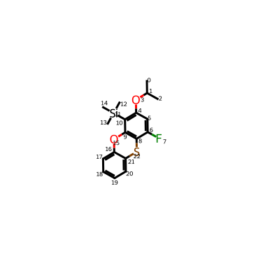 CC(C)Oc1cc(F)c2c(c1[Si](C)(C)C)Oc1ccccc1S2